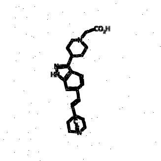 O=C(O)CN1CCC(c2n[nH]c3cc(C=CC45CCN(CC4)CC5)ccc23)CC1